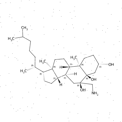 CC(C)CCC[C@@H](C)[C@H]1CC[C@H]2[C@@H]3C[C@@](O)(CN)[C@@]4(O)C[C@@H](O)CC[C@]4(C)[C@H]3CC[C@]12C